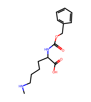 CNCCCCC(NC(=O)OCc1ccccc1)C(=O)O